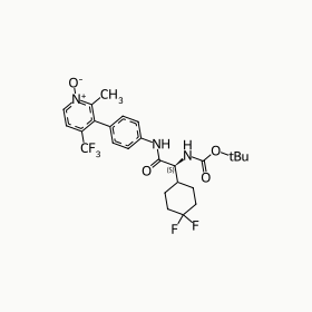 Cc1c(-c2ccc(NC(=O)[C@@H](NC(=O)OC(C)(C)C)C3CCC(F)(F)CC3)cc2)c(C(F)(F)F)cc[n+]1[O-]